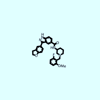 COc1cccc(F)c1CN1CCCC(NC(=O)c2ccc3[nH]nc(-c4ccc5c(c4)CCO5)c3c2)C1